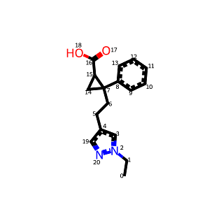 CCn1cc(CCC2(c3ccccc3)CC2C(=O)O)cn1